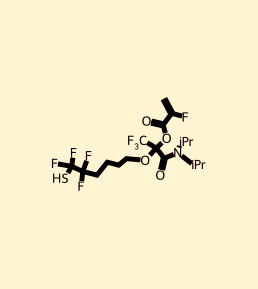 C=C(F)C(=O)OC(OCCCCC(F)(F)C(F)(F)S)(C(=O)N(C(C)C)C(C)C)C(F)(F)F